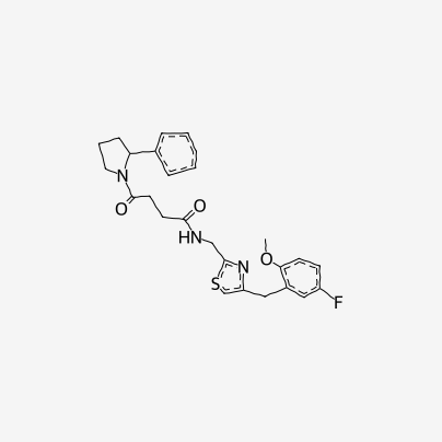 COc1ccc(F)cc1Cc1csc(CNC(=O)CCC(=O)N2CCCC2c2ccccc2)n1